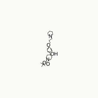 CC(C)(C)OC(=O)N1CCC(O)(c2ccc(OCCCN3CCCCC3)cc2)CC1